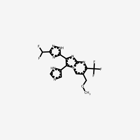 COCc1cn2c(-c3cnc[nH]3)c(-c3nc(C(F)F)n[nH]3)nc2nc1C(F)(F)F